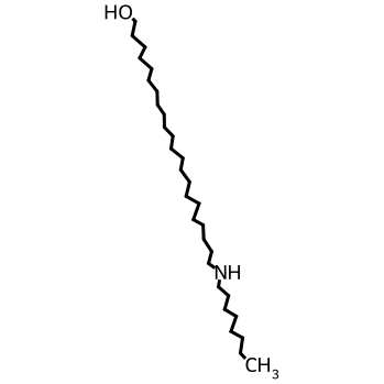 CCCCCCCCNCCCCCCCCCCCCCCCCCCCCCCO